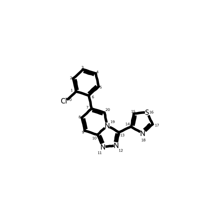 Clc1ccccc1-c1ccc2nnc(-c3cscn3)n2c1